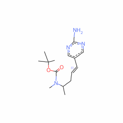 CC(C/C=C/c1cnc(N)nc1)N(C)C(=O)OC(C)(C)C